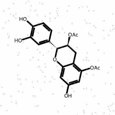 CC(=O)Oc1cc(O)cc2c1C[C@H](OC(C)=O)[C@@H](c1ccc(O)c(O)c1)O2